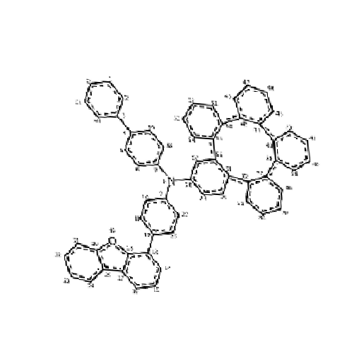 c1ccc(-c2ccc(N(c3ccc(-c4cccc5c4oc4ccccc45)cc3)c3ccc4c5ccccc5c5ccccc5c5ccccc5c5ccccc5c4c3)cc2)cc1